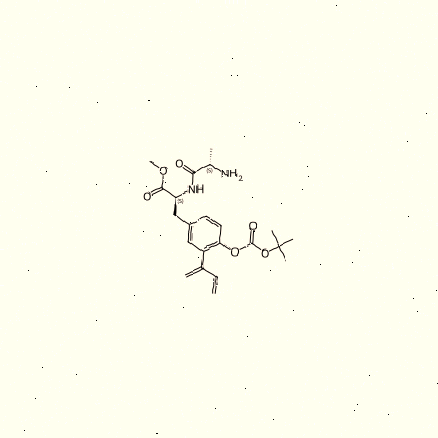 C=CC(=C)c1cc(C[C@H](NC(=O)[C@H](C)N)C(=O)OC)ccc1OC(=O)OC(C)(C)C